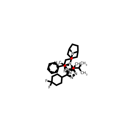 Cc1nnc(C(C)C)n1C1CC2CCC(C1)N2CCC(c1ccccc1)n1c(C)nnc1C1CCC(F)(F)CC1